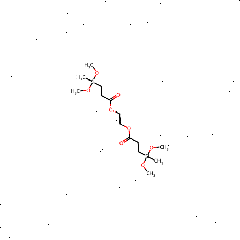 CO[Si](C)(CCC(=O)OCCOC(=O)CC[Si](C)(OC)OC)OC